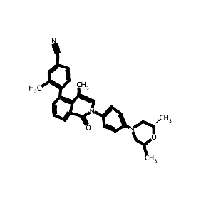 Cc1cc(C#N)ccc1-c1cccc2c(=O)n(-c3ccc(N4CC(C)O[C@@H](C)C4)cc3)cc(C)c12